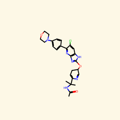 CC(=O)NC(C)(C)C1=CCC(Oc2nc3nc(-c4ccc(N5CCOCC5)cc4)c(Cl)cc3[nH]2)C=N1